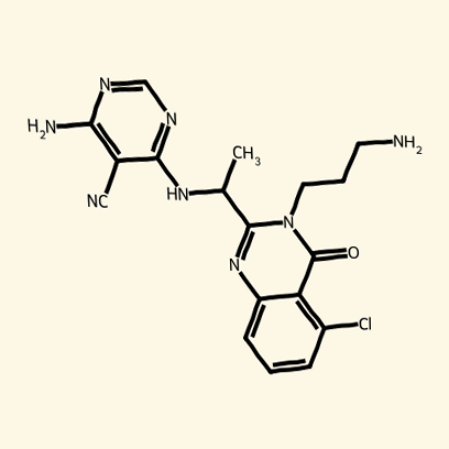 CC(Nc1ncnc(N)c1C#N)c1nc2cccc(Cl)c2c(=O)n1CCCN